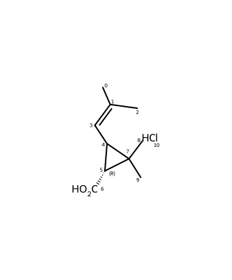 CC(C)=CC1[C@@H](C(=O)O)C1(C)C.Cl